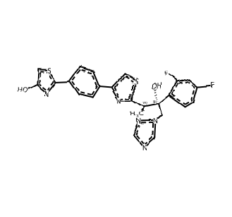 C[C@@H](c1nc(-c2ccc(-c3nc(O)cs3)cc2)cs1)[C@](O)(Cn1cncn1)c1ccc(F)cc1F